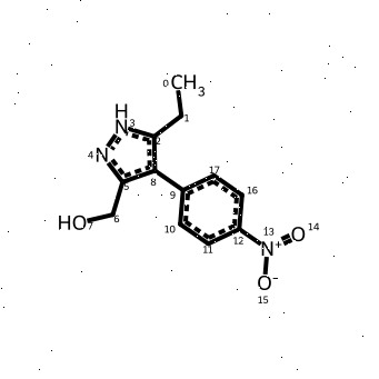 CCc1[nH]nc(CO)c1-c1ccc([N+](=O)[O-])cc1